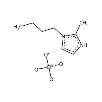 CCCC[n+]1cc[nH]c1C.[O-][Cl+3]([O-])([O-])[O-]